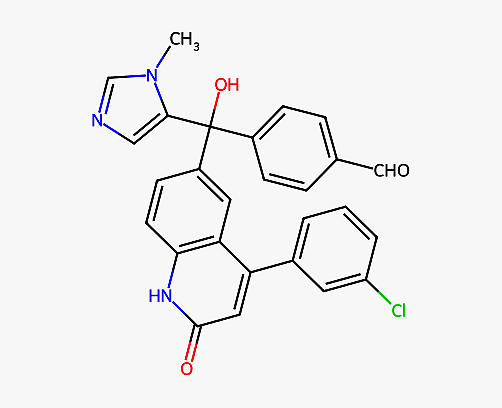 Cn1cncc1C(O)(c1ccc(C=O)cc1)c1ccc2[nH]c(=O)cc(-c3cccc(Cl)c3)c2c1